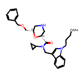 COCCCn1cc(CN(C(=O)[C@H]2CNC[C@@H](COCc3ccccc3)O2)C2CC2)c2ccccc21